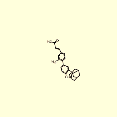 Cc1cc(/C=C/C(=O)O)ccc1-c1ccc(O)c(C23CC4CC(CC(C4)C2)C3)c1